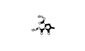 CC1C[C@@H](C(=O)OC(C)(C)C)N(C(=O)OC(C)(C)C)C1=O